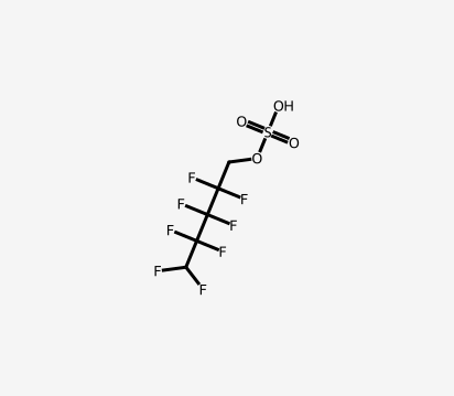 O=S(=O)(O)OCC(F)(F)C(F)(F)C(F)(F)C(F)F